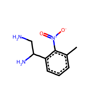 Cc1cccc(C(N)CN)c1[N+](=O)[O-]